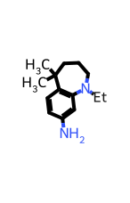 CCN1CCCC(C)(C)c2ccc(N)cc21